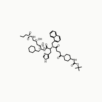 CCCS(=O)(=O)NC[C@H](O)C[C@H](O)[C@H](CC1CCCCC1)NC(=O)C(Cc1c[nH]cn1)N(Cc1cccc2ccccc12)C(=O)CCC(=O)N1CCC(NC(=O)OC(C)(C)C)CC1